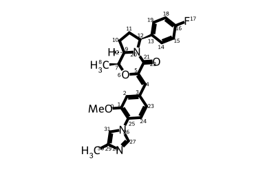 COc1cc(/C=C2\O[C@@H](C)[C@H]3CC[C@@H](c4ccc(F)cc4)N3C2=O)ccc1-n1cnc(C)c1